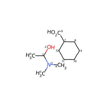 CC(O)N(C)C.O=C(O)C1CCCCC1